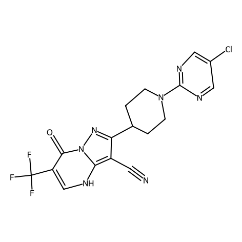 N#Cc1c(C2CCN(c3ncc(Cl)cn3)CC2)nn2c(=O)c(C(F)(F)F)c[nH]c12